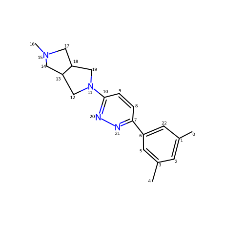 Cc1cc(C)cc(-c2ccc(N3CC4CN(C)CC4C3)nn2)c1